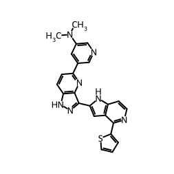 CN(C)c1cncc(-c2ccc3[nH]nc(-c4cc5c(-c6cccs6)nccc5[nH]4)c3n2)c1